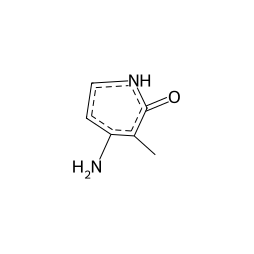 Cc1c(N)cc[nH]c1=O